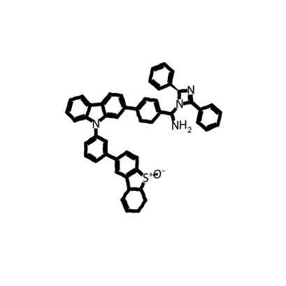 NC(C1=CC=C(c2ccc3c4ccccc4n(-c4cccc(-c5ccc6c(c5)C5C=CCCC5[S@+]6[O-])c4)c3c2)CC1)N1C(c2ccccc2)=N[C@@H]1c1ccccc1